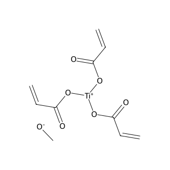 C=CC(=O)[O][Ti+]([O]C(=O)C=C)[O]C(=O)C=C.C[O-]